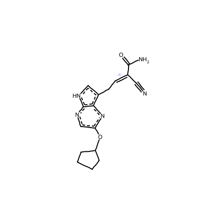 N#C/C(=C\Cc1c[nH]c2ncc(OC3CCCC3)nc12)C(N)=O